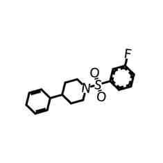 O=S(=O)(c1cccc(F)c1)N1CCC(C2C=CCC=C2)CC1